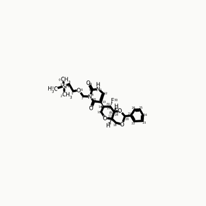 C[Si](C)(C)CCOCn1c(=O)[nH]cc([C@@H]2CO[C@@H]3COC(c4ccccc4)O[C@H]3[C@H]2F)c1=O